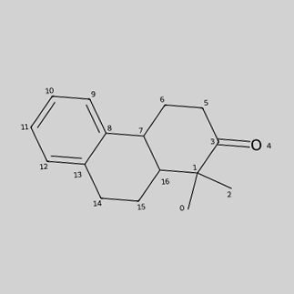 CC1(C)C(=O)CCC2c3ccccc3CCC21